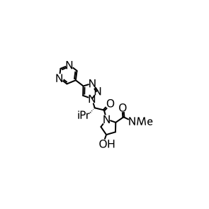 CNC(=O)C1CC(O)CN1C(=O)[C@H](C(C)C)n1cc(-c2cncnc2)nn1